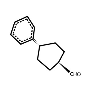 O=C[C@H]1CC[C@H](c2ccccc2)CC1